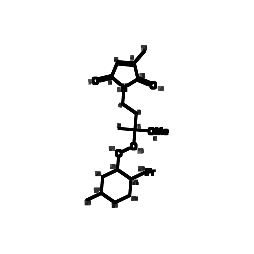 COC(C)(CCN1C(=O)C=C(C)C1=O)OOC1CC(C)CCC1C(C)C